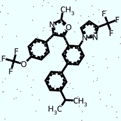 Cc1nc(-c2ccc(OC(F)(F)F)cc2)c(-c2cc(-c3cccc(C(C)C)c3)ccc2-n2ccc(C(F)(F)F)n2)o1